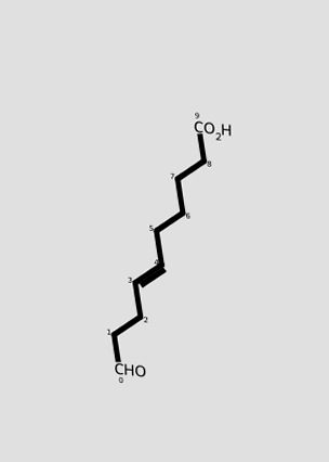 O=CCCC=CCCCCC(=O)O